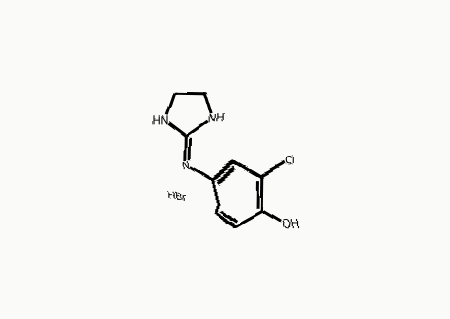 Br.Oc1ccc(N=C2NCCN2)cc1Cl